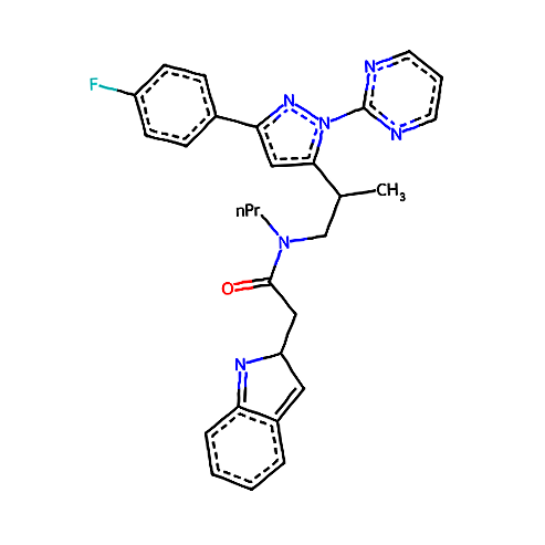 CCCN(CC(C)c1cc(-c2ccc(F)cc2)nn1-c1ncccn1)C(=O)CC1C=c2ccccc2=N1